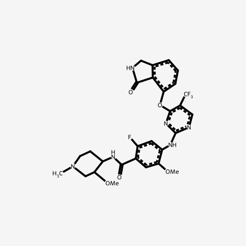 COc1cc(C(=O)NC2CCN(C)CC2OC)c(F)cc1Nc1ncc(C(F)(F)F)c(Oc2cccc3c2C(=O)NC3)n1